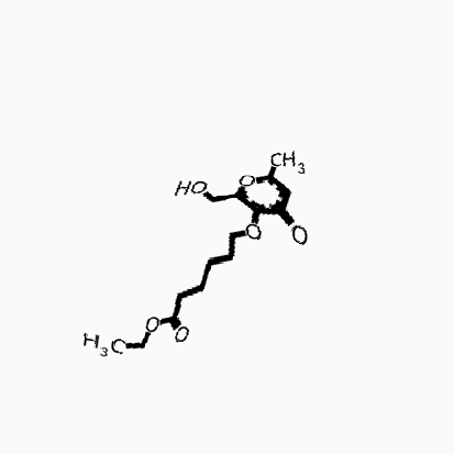 CCOC(=O)CCCCCOc1c(CO)oc(C)cc1=O